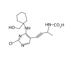 CC(C#Cc1cnc(Cl)nc1NC1(CO)CCCCC1)NC(=O)O